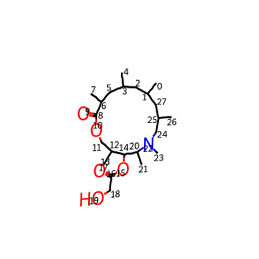 CC1CC(C)CC(C)C(=O)OCC(C)C(OC(=O)CO)C(C)N(C)CC(C)C1